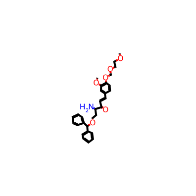 COCCOCOc1ccc(C=CC(=O)C(N)CCOC(c2ccccc2)c2ccccc2)cc1OC